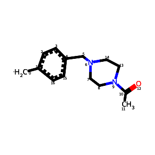 [CH2]c1ccc(CN2CCN(C(C)=O)CC2)cc1